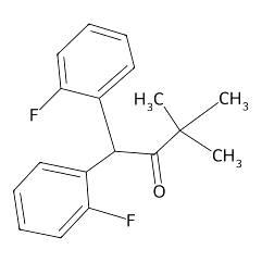 CC(C)(C)C(=O)C(c1ccccc1F)c1ccccc1F